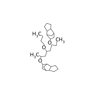 CCCCOC(CC(C)OC1CC2CC1C1CCCC21)CC(CC)OC1CC2CC1C1CCCC21